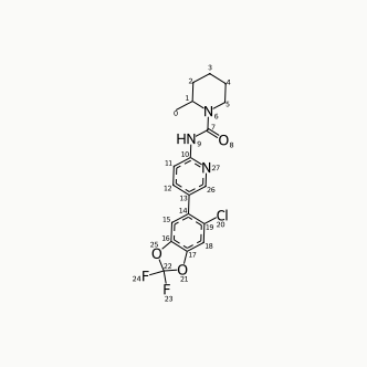 CC1CCCCN1C(=O)Nc1ccc(-c2cc3c(cc2Cl)OC(F)(F)O3)cn1